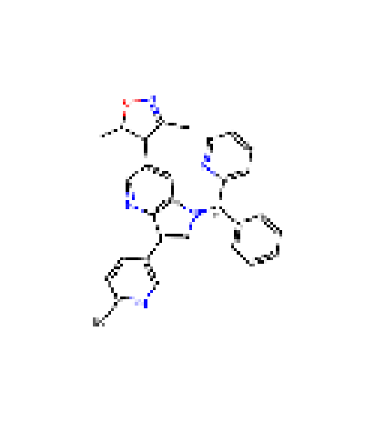 CC1=NOC(C)C1c1cnc2c(-c3ccc(C#N)nc3)cn([C@H](c3ccccc3)c3ccccn3)c2c1